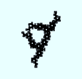 CCCCC(CC)COc1ccc(Nc2ccc(Oc3ccc(-c4ccc(Oc5ccc(Nc6ccc(OCC(CC)CCCC)cc6)cc5Nc5ccc(OCC(CC)CCCC)cc5)cc4)cc3)c(Nc3ccc(OCC(CC)CCCC)cc3)c2)cc1